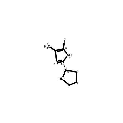 Cc1nc([C@@H]2CCCN2)[nH]c1I